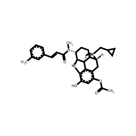 CC(=O)Oc1cc(O)c2c3c1C[C@@H]1[C@@H]4CC[C@@H](N(C)C(=O)C=Cc5cccc(C)c5)[C@H](O2)[C@]34CCN1CC1CC1